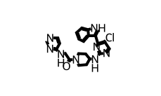 O=C(CNc1ccncn1)N1CCC(Nc2ncc(Cl)c(-c3c[nH]c4ccccc34)n2)CC1